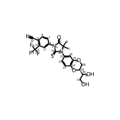 CC1(C)C(=O)N(c2ccc(C#N)c(C(F)(F)F)c2)C(=S)N1c1ccc2c(c1)OC[C@@H](C(O)CO)O2